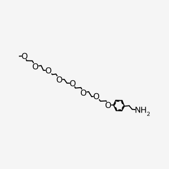 COCCOCCOCCOCCOCCOCCOCCOc1ccc(CCN)cc1